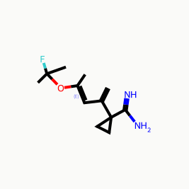 C=C(/C=C(\C)OC(C)(C)F)C1(C(=N)N)CC1